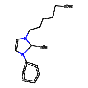 CCCCCCCCCCCCCCCN1C=CN(c2ccccc2)C1CCCC